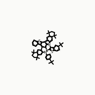 CC(C)(C)c1ccc(N2B3c4sc5ccc(C(C)(C)C)cc5c4-n4c5cc6c(cc5c5c7sc8ccccc8c7c(c3c54)-c3cc4c(cc32)C(C)(C)CCC4(C)C)C(C)(C)CCC6(C)C)cc1